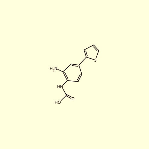 Nc1cc(-c2cccs2)ccc1NC(=O)O